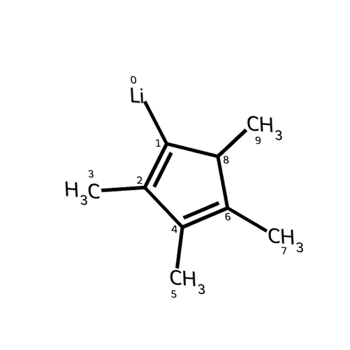 [Li][C]1=C(C)C(C)=C(C)C1C